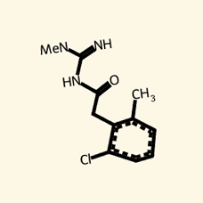 CNC(=N)NC(=O)Cc1c(C)cccc1Cl